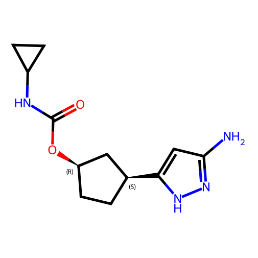 Nc1cc([C@H]2CC[C@@H](OC(=O)NC3CC3)C2)[nH]n1